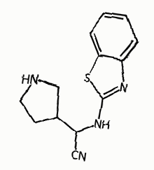 N#CC(Nc1nc2ccccc2s1)C1CCNC1